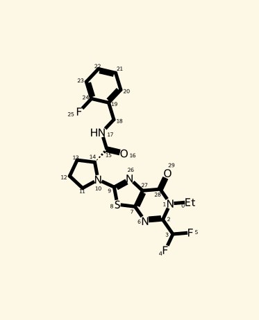 CCn1c(C(F)F)nc2sc(N3CCC[C@@H]3C(=O)NCc3ccccc3F)nc2c1=O